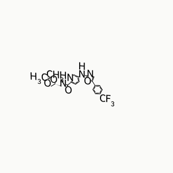 CC1(C)OC[C@@H](CNC(=O)c2ccc(Nc3ncc(-c4ccc(C(F)(F)F)cc4)o3)cn2)O1